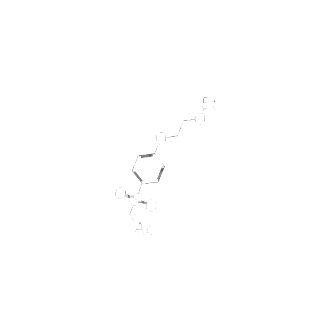 CCOCCOc1ccc(S(=O)(=O)CC(C)=O)cc1